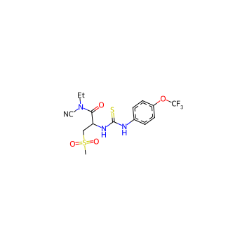 CCN(C#N)C(=O)C(CS(C)(=O)=O)NC(=S)Nc1ccc(OC(F)(F)F)cc1